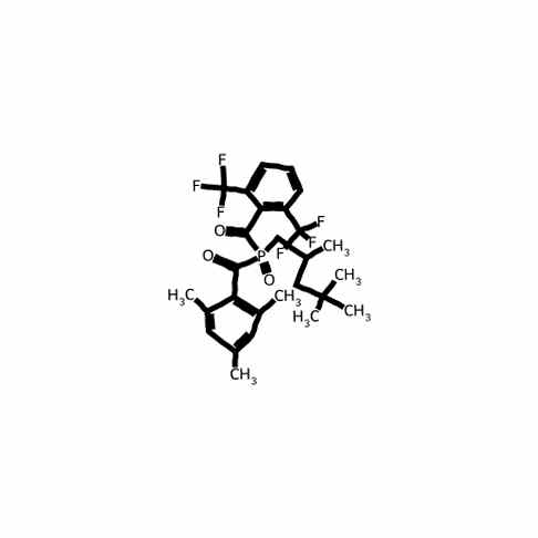 Cc1cc(C)c(C(=O)P(=O)(CC(C)CC(C)(C)C)C(=O)c2c(C(F)(F)F)cccc2C(F)(F)F)c(C)c1